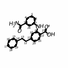 NC(=O)c1cccc(Nc2cc(CCc3ccccc3)ccc2C(=O)O)c1